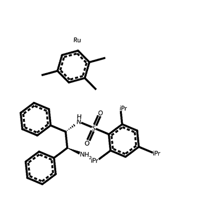 CC(C)c1cc(C(C)C)c(S(=O)(=O)N[C@@H](c2ccccc2)[C@@H](N)c2ccccc2)c(C(C)C)c1.Cc1ccc(C)c(C)c1.[Ru]